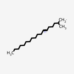 [CH2]C(C)CCC/C=C/CCCCCCCCCCC